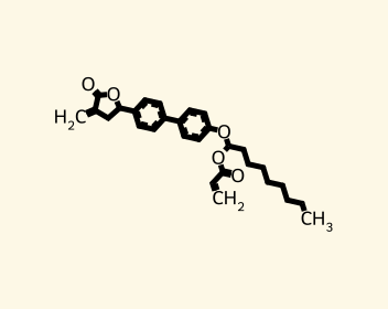 C=CC(=O)OC(CCCCCCCC)Oc1ccc(-c2ccc(C3CC(=C)C(=O)O3)cc2)cc1